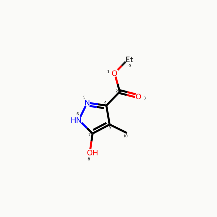 CCOC(=O)c1n[nH]c(O)c1C